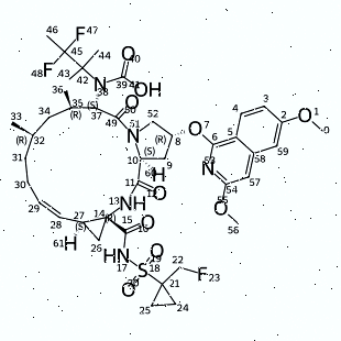 COc1ccc2c(O[C@@H]3C[C@H]4C(=O)N[C@]5(C(=O)NS(=O)(=O)C6(CF)CC6)C[C@H]5C=CCC[C@@H](C)C[C@@H](C)[C@H](N(C(=O)O)C(C)(C)C(C)(F)F)C(=O)N4C3)nc(OC)cc2c1